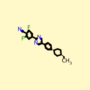 CC[C@H]1CC[C@H](c2ccc(-c3cnc(-c4cc(F)c(C#N)c(F)c4)nc3)cc2)CC1